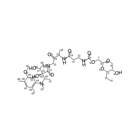 CCC(CO)OC(COC(=O)NCCC(=O)NC(C)C(=O)CNC(=O)[C@@](O)(C(C)O)C(C)N(C)c1cc(OC)c(C)cc1C)OC